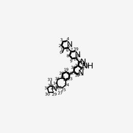 Cc1cccnc1-c1ccc(-c2n[nH]c3ncc(-c4ccc5c(c4)CC[C@@](C)(N4CCC[C@H]4C)CC5)cc23)nc1